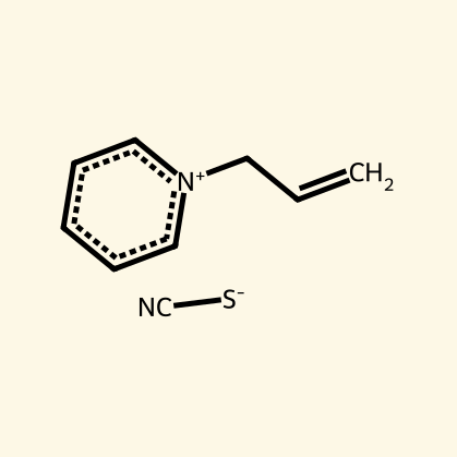 C=CC[n+]1ccccc1.N#C[S-]